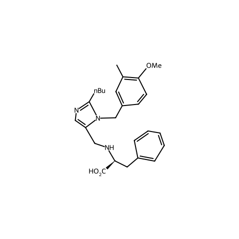 CCCCc1ncc(CN[C@@H](Cc2ccccc2)C(=O)O)n1Cc1ccc(OC)c(C)c1